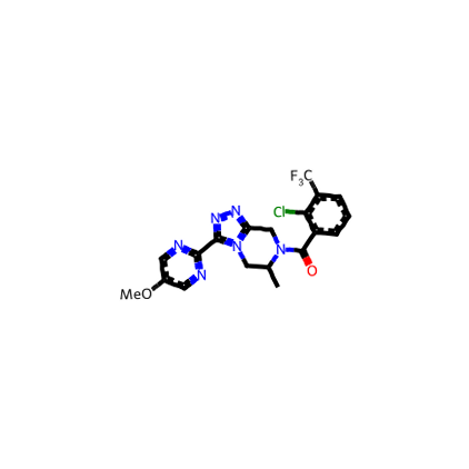 COc1cnc(-c2nnc3n2CC(C)N(C(=O)c2cccc(C(F)(F)F)c2Cl)C3)nc1